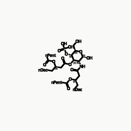 CCCCCCCCCCC[C@H](CC(=O)N[C@@H]1[C@@H](OC(=O)C[C@@H](CCCCCCCCCCC)OC(=O)CCCCC)[C@H](OP(=O)(O)O)[C@@H](CO)O[C@@H]1O)OC(=O)CCCCC